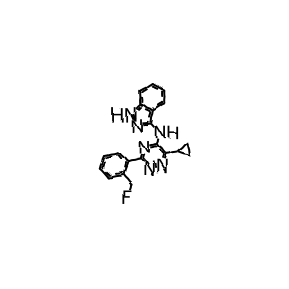 FCc1ccccc1-c1nnc(C2CC2)c(Nc2n[nH]c3ccccc23)n1